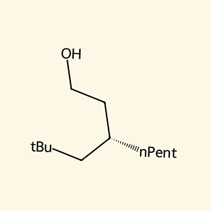 CCCCC[C@@H](CCO)CC(C)(C)C